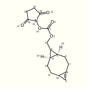 O=C(OCC1[C@H]2CCC3=CC3CC[C@@H]12)ON1C(=O)CCC1=O